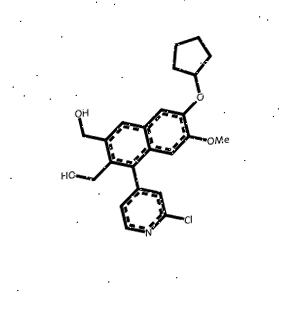 COc1cc2c(-c3ccnc(Cl)c3)c(CO)c(CO)cc2cc1OC1CCCC1